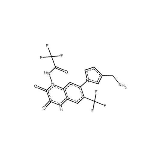 NCc1ccn(-c2cc3c(cc2C(F)(F)F)[nH]c(=O)c(=O)n3NC(=O)C(F)(F)F)c1